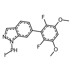 COc1cc(OC)c(F)c(-c2ccc3cnn(PI)c3c2)c1F